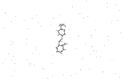 Nc1ccc(/C=C/c2ccccc2F)cc1